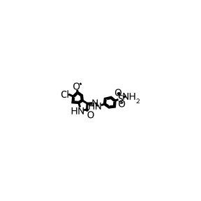 COc1cc2c(cc1Cl)NC(=O)C2=NNc1ccc(S(N)(=O)=O)cc1